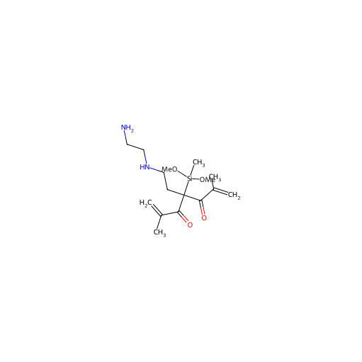 C=C(C)C(=O)C(CCNCCN)(C(=O)C(=C)C)[Si](C)(OC)OC